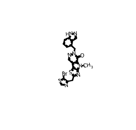 Cn1c2nc(Cc3ncsc3Br)sc2c2cnn(Cc3cccc4[nH]ncc34)c(=O)c21